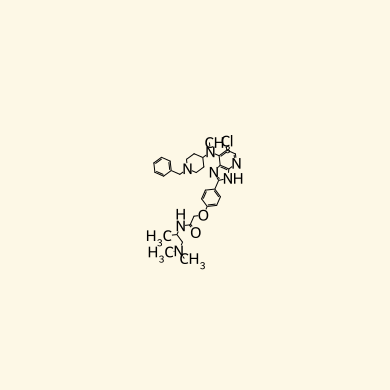 CC(CN(C)C)NC(=O)COc1ccc(-c2nc3c(N(C)C4CCN(Cc5ccccc5)CC4)c(Cl)cnc3[nH]2)cc1